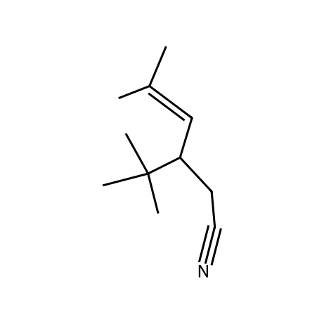 CC(C)=CC(CC#N)C(C)(C)C